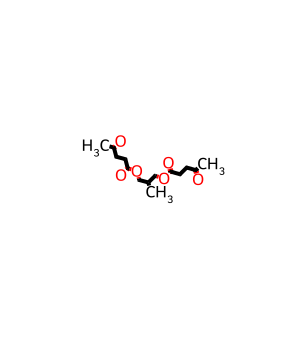 CC(=O)CCC(=O)OCC(C)COC(=O)CCC(C)=O